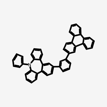 c1ccc(N2c3ccccc3-c3ccc(-c4cccc(-c5ccc6c7ccccc7c7ccccc7c6c5)c4)cc3-c3ccccc32)cc1